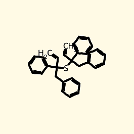 C=CC(Cc1ccccc1)(SC(C=C)(Cc1ccccc1)c1ccccc1)c1ccccc1